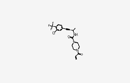 C=CC(=O)N1CCN(C(=O)NC(C)C#Cc2ccc(C(F)(F)F)c(Cl)c2)CC1